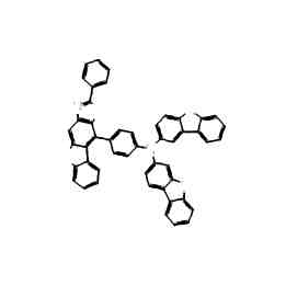 c1ccc(-c2nc3cc4oc5ccccc5c4c(-c4ccc(N(c5ccc6c(c5)sc5ccccc56)c5ccc6sc7ccccc7c6c5)cc4)c3o2)cc1